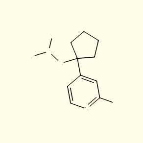 CC(C)(C)[S+]([O-])NC1(c2ccnc(Cl)c2)CCCC1